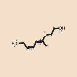 C/C(=C\C=C/CC(F)(F)F)OCCO